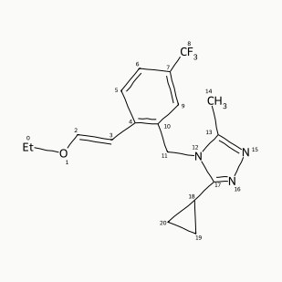 CCOC=Cc1ccc(C(F)(F)F)cc1Cn1c(C)nnc1C1CC1